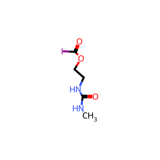 CNC(=O)NCCOC(=O)I